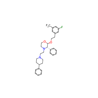 Fc1cc(CCO[C@@H]2OCCN(CCN3CCC(c4ccccc4)CC3)[C@H]2c2ccccc2)cc(C(F)(F)F)c1